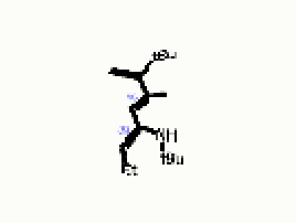 C=C(/C(C)=C/C(=C/CC)NC(C)(C)C)C(C)(C)C